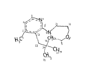 Cc1ccnc(N2CCOCC2)c1CC(C)(C)C